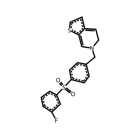 O=S(=O)(c1ccc(CN2C=c3sccc3=CC2)cc1)c1cccc(F)c1